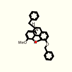 COC1=CC=C2[C@H]3Cc4ccc(OCc5ccccc5)c5c4[C@@]2(CCN3Cc2ccccc2)[C@H]1O5